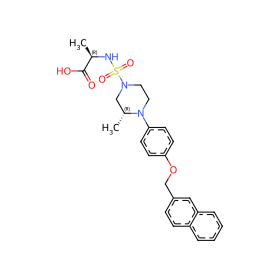 C[C@@H]1CN(S(=O)(=O)N[C@H](C)C(=O)O)CCN1c1ccc(OCc2ccc3ccccc3c2)cc1